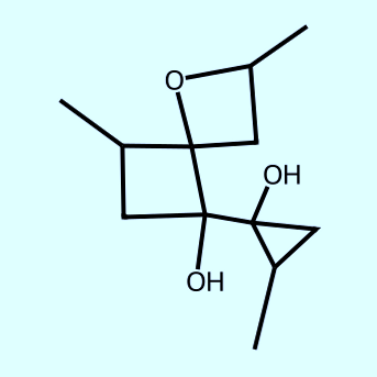 CC1CC2(O1)C(C)CC2(O)C1(O)CC1C